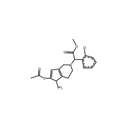 BC1C(OC(C)=O)=CC2=C1CCN(C(C(=O)OC)c1ccccc1Cl)C2